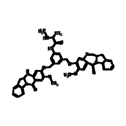 CNC(C)C(=O)Nc1cc(COc2cc3c(cc2OC)C(=O)N2c4ccccc4CC2C=N3)cc(COc2cc3c(cc2OC)C(=O)N2c4ccccc4CC2N3)c1